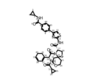 O=C(NC1CC1)c1ccc(-c2csc(NC(=O)[C@@H]3CSC4(CCOCC4)N3C(=O)[C@H](NC(=O)C3CC3)C3=CC=CCC3)n2)cc1